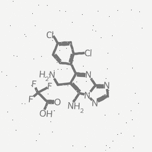 NCc1c(-c2ccc(Cl)cc2Cl)nc2ncnn2c1N.O=C(O)C(F)(F)F